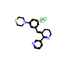 C(=C1CCCN=C1c1cccnc1)c1cccc(N2CCSCC2)c1.Cl.Cl